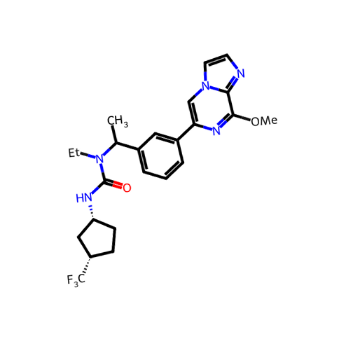 CCN(C(=O)N[C@@H]1CC[C@H](C(F)(F)F)C1)C(C)c1cccc(-c2cn3ccnc3c(OC)n2)c1